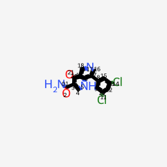 NC(=O)c1c[nH]c2c(-c3cc(Cl)cc(Cl)c3)cncc2c1=O